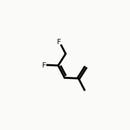 C=C(C)/C=C(/F)CF